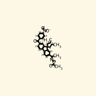 CCCC1(CCC)c2cc(C(=O)c3ccc([N+](=O)[O-])cc3)ccc2-c2ccc(/C(C)=N/OC(C)=O)cc21